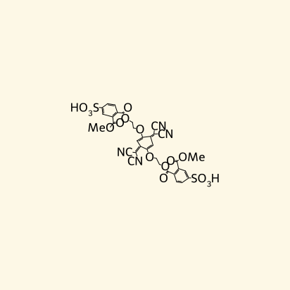 COC(=O)c1cc(S(=O)(=O)O)ccc1C(=O)OCCOc1cc(=C(C#N)C#N)c(OCCOC(=O)c2ccc(S(=O)(=O)O)cc2C(=O)OC)cc1=C(C#N)C#N